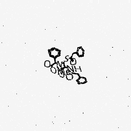 COC(=O)C(c1ccccc1)N1C(=O)C(NC(=O)Cc2ccccc2)C1SC(=O)Cc1ccccc1